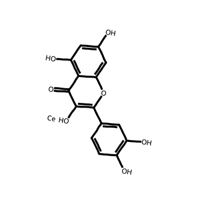 O=c1c(O)c(-c2ccc(O)c(O)c2)oc2cc(O)cc(O)c12.[Ce]